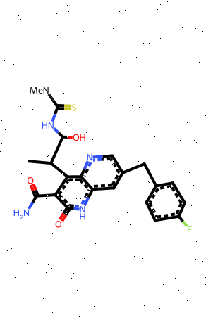 CNC(=S)NC(O)C(C)c1c(C(N)=O)c(=O)[nH]c2cc(Cc3ccc(F)cc3)cnc12